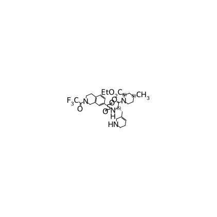 CCOC(=O)[C@H]1C[C@H](C)CCN1C(=O)[C@H](CC1=CCCNC1)NS(=O)(=O)c1ccc2c(c1)CN(C(=O)C(F)(F)F)CC2